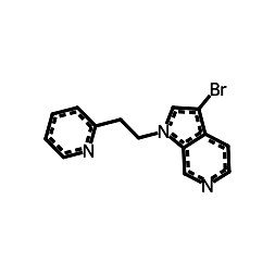 Brc1cn(CCc2ccccn2)c2cnccc12